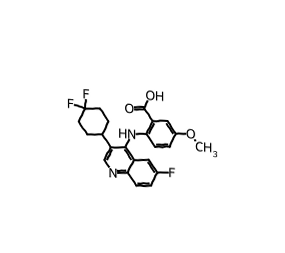 COc1ccc(Nc2c(C3CCC(F)(F)CC3)cnc3ccc(F)cc23)c(C(=O)O)c1